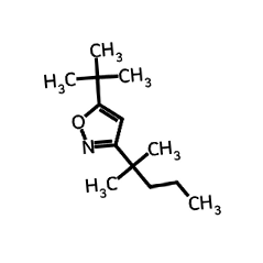 CCCC(C)(C)c1cc(C(C)(C)C)on1